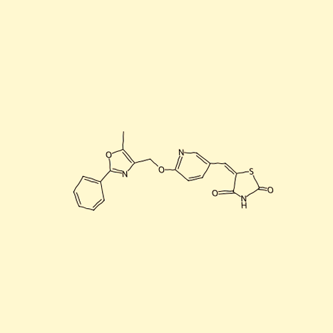 Cc1oc(-c2ccccc2)nc1COc1ccc(C=C2SC(=O)NC2=O)cn1